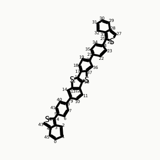 c1ccc2c(-c3ccc(-c4ccc5c(c4)sc4c6ccc(-c7ccc(-c8scc9ccccc89)cc7)cc6sc54)cc3)scc2c1